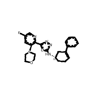 Fc1cnc(-c2nnc(N[C@H]3CCC=C(c4ccccc4)C3)o2)c(N2CCOCC2)c1